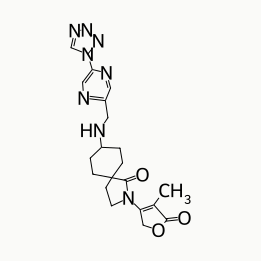 CC1=C(N2CCC3(CCC(NCc4cnc(-n5cnnn5)cn4)CC3)C2=O)COC1=O